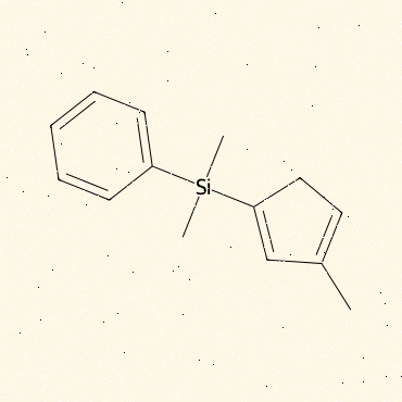 CC1=CCC([Si](C)(C)c2ccccc2)=C1